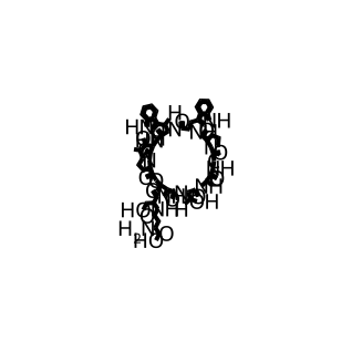 CC1NC(=O)C(C(C)O)NC(=O)C(NC(=O)C(CO)NC(=O)CC(N)C(=O)O)C(C)OC(=O)C2CCC3C(C)C(O)C(NC(=O)C(C(C)c4c[nH]c5ccccc45)NC(=O)C(Cc4c[nH]c5ccccc45)NC(=O)C4CCCN4C(=O)CNC1=O)C(=O)N23